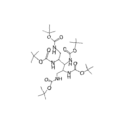 CC(C)(C)OC(=O)NCC(NC(=O)OC(C)(C)C)C(NC(=O)OC(C)(C)C)C(CNC(=O)OC(C)(C)C)NC(=O)OC(C)(C)C